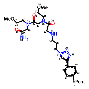 CCCCCc1ccc(-c2cn(CCCNCC(=O)N(CCOC)CC(=O)N(CCOC)CC(N)=O)nn2)cc1